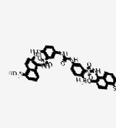 Cc1ccc(NC(=O)Nc2ccc(C)c(S(=O)(=O)Nc3c(O)ccc4c(S(=O)(=O)O)cccc34)c2)cc1S(=O)(=O)Nc1c(O)ccc2c(S(=O)(=O)O)cccc12